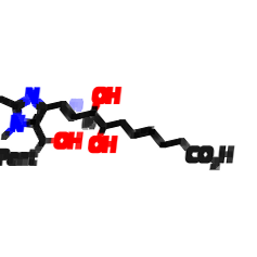 CCCCCC(O)c1c(/C=C/[C@@H](O)C(O)CC=CCCC(=O)O)nc(C)n1C